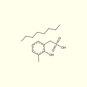 CCCCCCCC.Cc1cccc(CS(=O)(=O)O)c1O